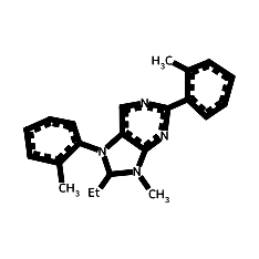 CCC1N(C)c2nc(-c3ccccc3C)ncc2N1c1ccccc1C